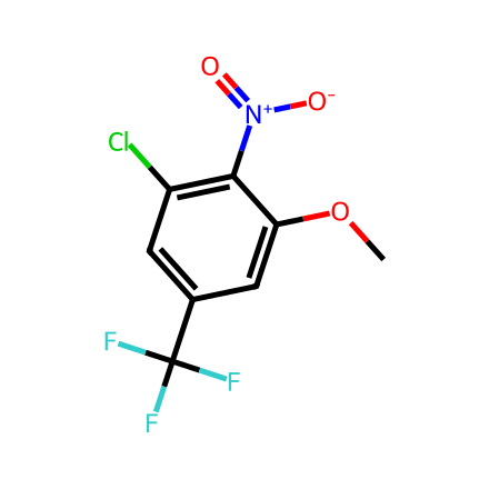 COc1cc(C(F)(F)F)cc(Cl)c1[N+](=O)[O-]